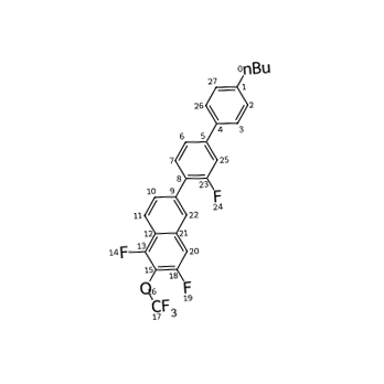 CCCCc1ccc(-c2ccc(-c3ccc4c(F)c(OC(F)(F)F)c(F)cc4c3)c(F)c2)cc1